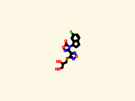 O=c1onc(-c2nonc2SCC(O)CO)n1C1CCc2ccc(F)cc21